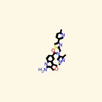 Cc1ccc(-c2csc(CN(C(=O)c3ccc4nc(N)c5c(c4c3)COC5)c3cn(C)nc3C)n2)cn1